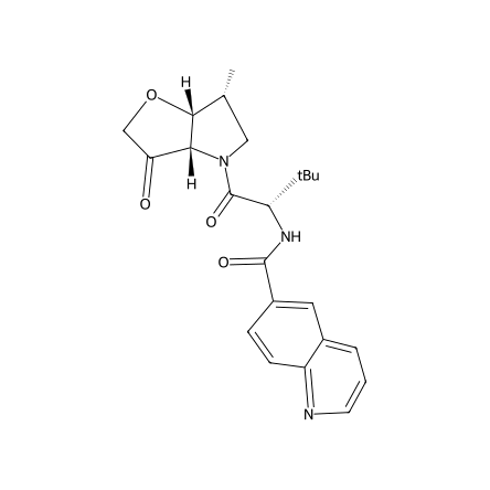 C[C@@H]1CN(C(=O)[C@@H](NC(=O)c2ccc3ncccc3c2)C(C)(C)C)[C@@H]2C(=O)CO[C@H]12